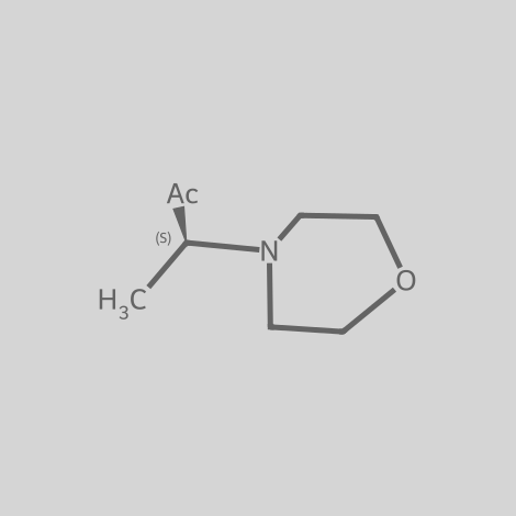 CC(=O)[C@H](C)N1CCOCC1